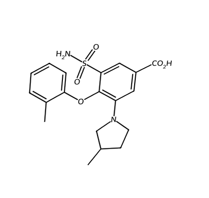 Cc1ccccc1Oc1c(N2CCC(C)C2)cc(C(=O)O)cc1S(N)(=O)=O